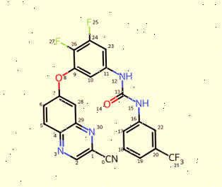 N#Cc1cnc2ccc(Oc3cc(NC(=O)Nc4cccc(C(F)(F)F)c4)cc(F)c3F)cc2n1